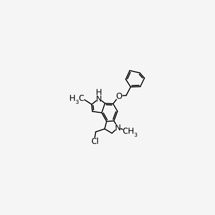 Cc1cc2c3c(cc(OCc4ccccc4)c2[nH]1)N(C)CC3CCl